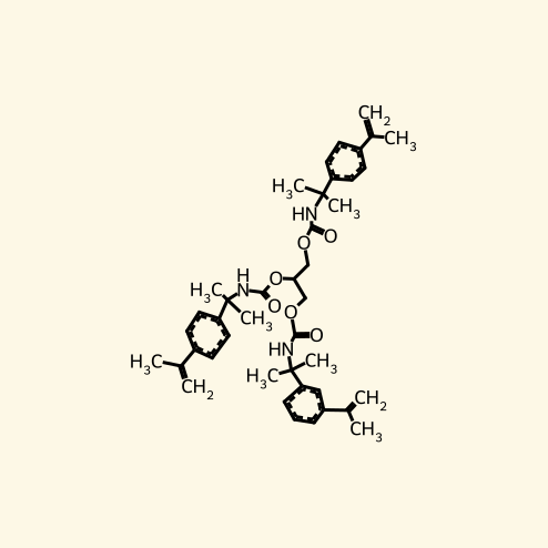 C=C(C)c1ccc(C(C)(C)NC(=O)OCC(COC(=O)NC(C)(C)c2cccc(C(=C)C)c2)OC(=O)NC(C)(C)c2ccc(C(=C)C)cc2)cc1